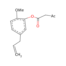 C=CCc1ccc(OC)c(OC(=O)CC(C)=O)c1